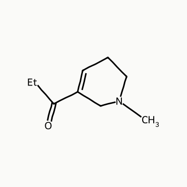 CCC(=O)C1=CCCN(C)C1